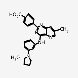 Cc1cnc2c(Nc3cccc(N4CCC[C@@H]4C)c3)nc(-c3ccc(C(=O)O)cc3)nc2c1